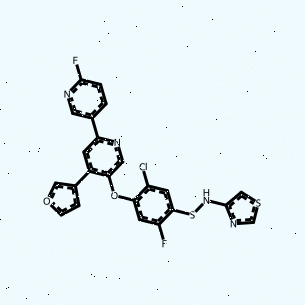 Fc1ccc(-c2cc(-c3ccoc3)c(Oc3cc(F)c(SNc4cscn4)cc3Cl)cn2)cn1